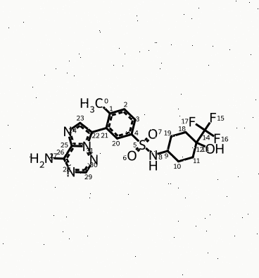 Cc1ccc(S(=O)(=O)NC2CCC(O)(C(F)(F)F)CC2)cc1-c1cnc2c(N)ncnn12